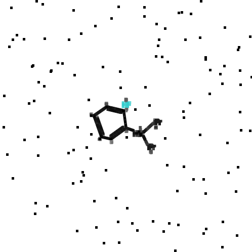 CC(C)[SiH](c1ccccc1)C(C)C.F